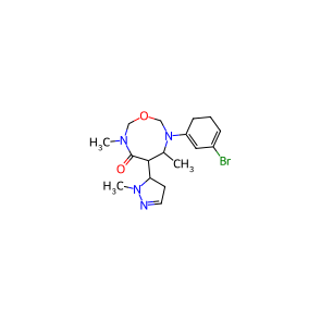 CC1C(C2CC=NN2C)C(=O)N(C)COCN1C1=CC(Br)=CCC1